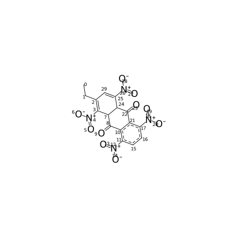 CCC1=C([N+](=O)[O-])C2C(=O)c3c([N+](=O)[O-])ccc([N+](=O)[O-])c3C(=O)C2C([N+](=O)[O-])=C1